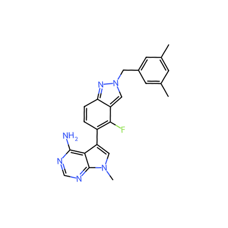 Cc1cc(C)cc(Cn2cc3c(F)c(-c4cn(C)c5ncnc(N)c45)ccc3n2)c1